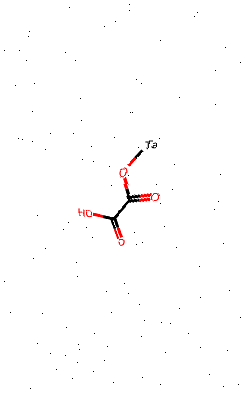 O=C(O)C(=O)[O][Ta]